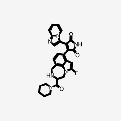 O=C1NC(=O)C(c2cnc3ccccn23)=C1c1ccc2c3c1cc(F)n3CC(C(=O)N1CCCCC1)NC2